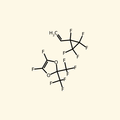 C=CC1(F)C(F)(F)C1(F)F.FC1=C(F)OC(C(F)(F)F)(C(F)(F)F)O1